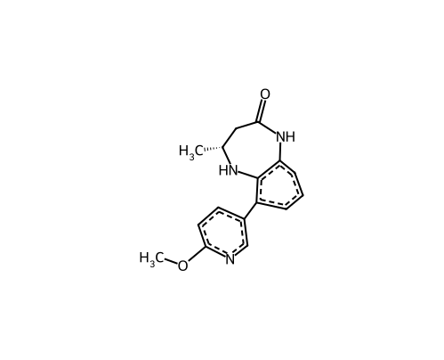 COc1ccc(-c2cccc3c2N[C@H](C)CC(=O)N3)cn1